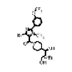 CC[C@H](CO)C(=N)C1CCN(C(=O)c2c(Br)nc(-c3cccc(OC(F)(F)F)c3)n2C)CC1